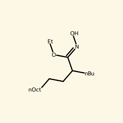 CCCCCCCCCCC(CCCC)C(=NO)OCC